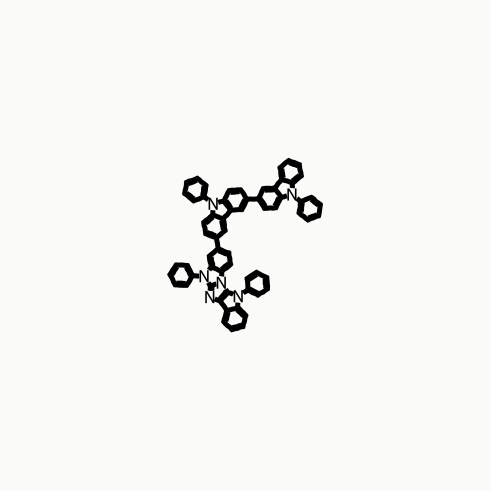 c1ccc(-n2c3ccccc3c3cc(-c4ccc5c(c4)c4cc(-c6ccc7c(c6)n(-c6ccccc6)c6nc8c9ccccc9n(-c9ccccc9)c8n76)ccc4n5-c4ccccc4)ccc32)cc1